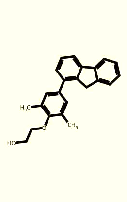 Cc1cc(-c2cccc3c2Cc2ccccc2-3)cc(C)c1OCCO